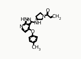 C=CC(=O)N1CC[C@@H](Nc2n[nH]c3nccc(Oc4ccc(C)cc4)c23)C1